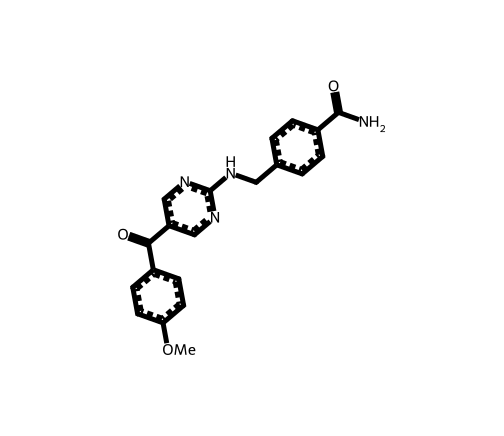 COc1ccc(C(=O)c2cnc(NCc3ccc(C(N)=O)cc3)nc2)cc1